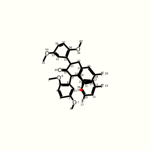 COc1ccc(OC)c(C(Cc2cc(F)cc(F)c2)C(=O)C(Cc2cc(F)cc(F)c2)c2cc(OC)ccc2OC)c1